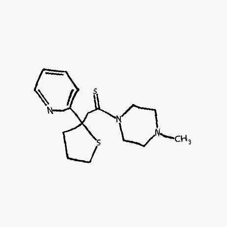 CN1CCN(C(=S)C2(c3ccccn3)CCCS2)CC1